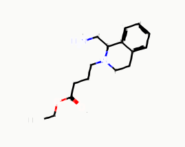 CCOC(=O)CCCN1CCc2ccccc2C1CN